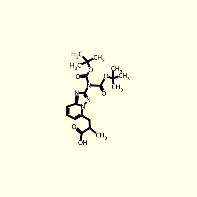 CC(Cc1cccc2nc(N(C(=O)OC(C)(C)C)C(=O)OC(C)(C)C)nn12)C(=O)O